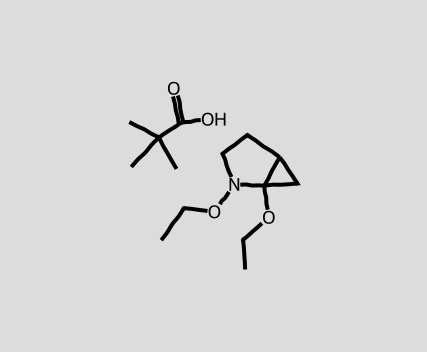 CC(C)(C)C(=O)O.CCON1CCC2CC21OCC